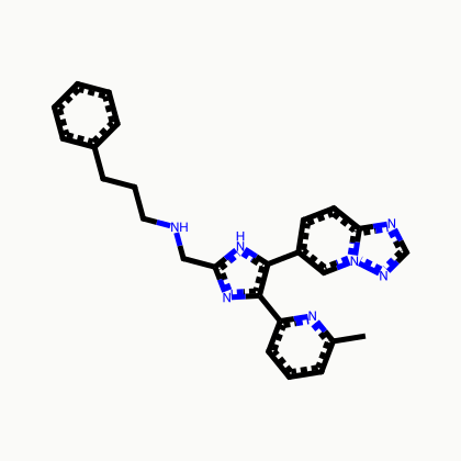 Cc1cccc(-c2nc(CNCCCc3ccccc3)[nH]c2-c2ccc3ncnn3c2)n1